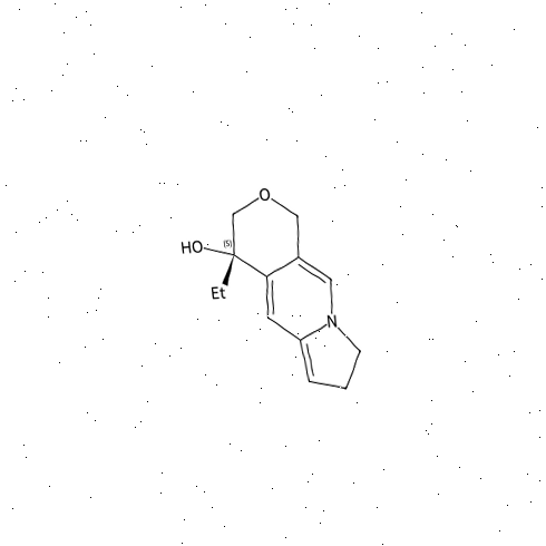 CC[C@@]1(O)COCC2=CN3CCC=C3C=C21